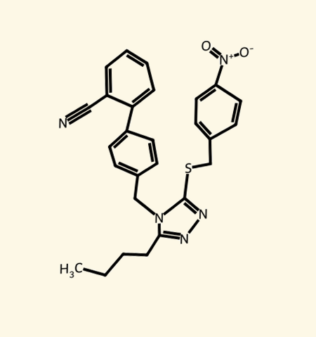 CCCCc1nnc(SCc2ccc([N+](=O)[O-])cc2)n1Cc1ccc(-c2ccccc2C#N)cc1